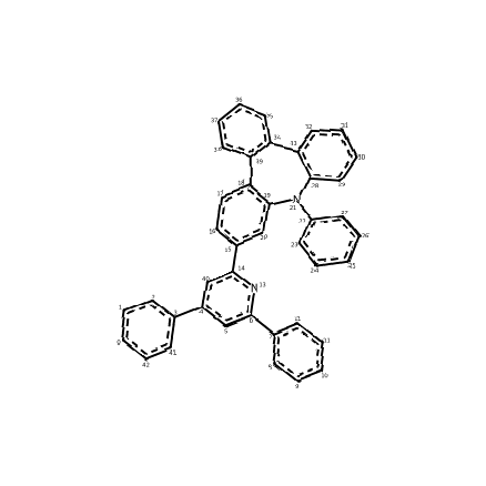 c1ccc(-c2cc(-c3ccccc3)nc(-c3ccc4c(c3)N(c3ccccc3)c3ccccc3-c3ccccc3-4)c2)cc1